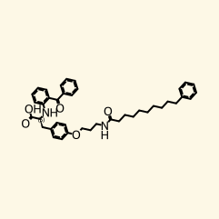 O=C(CCCCCCCCCc1ccccc1)NCCCOc1ccc(C[C@H](Nc2ccccc2C(=O)c2ccccc2)C(=O)O)cc1